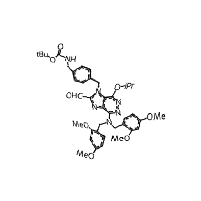 COc1ccc(CN(Cc2ccc(OC)cc2OC)c2nnc(OC(C)C)c3c2nc(C=O)n3Cc2ccc(CNC(=O)OC(C)(C)C)cc2)c(OC)c1